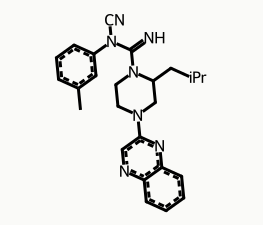 Cc1cccc(N(C#N)C(=N)N2CCN(c3cnc4ccccc4n3)CC2CC(C)C)c1